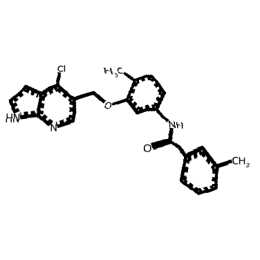 Cc1cccc(C(=O)Nc2ccc(C)c(OCc3cnc4[nH]ccc4c3Cl)c2)c1